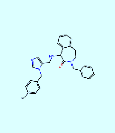 N#Cc1ccc(Cn2cncc2CNC2C(=O)N(Cc3ccccc3)CCc3ccccc32)cc1